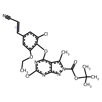 CCOc1cc(/C=C/C#N)cc(Cl)c1Oc1nc(Cl)nc2nn(C(=O)OC(C)(C)C)c(C)c12